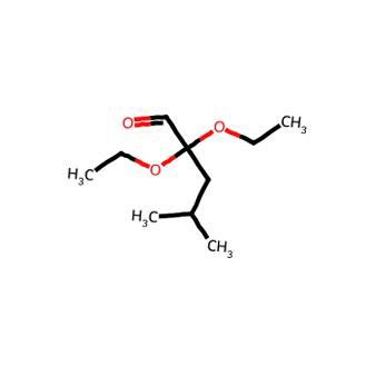 CCOC(C=O)(CC(C)C)OCC